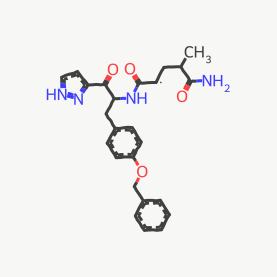 CC(C[CH]C(=O)NC(Cc1ccc(OCc2ccccc2)cc1)C(=O)c1cc[nH]n1)C(N)=O